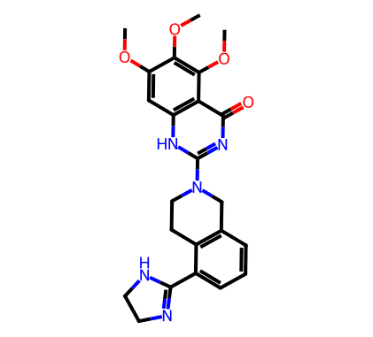 COc1cc2[nH]c(N3CCc4c(cccc4C4=NCCN4)C3)nc(=O)c2c(OC)c1OC